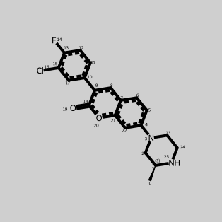 C[C@H]1CN(c2ccc3cc(-c4ccc(F)c(Cl)c4)c(=O)oc3c2)CCN1